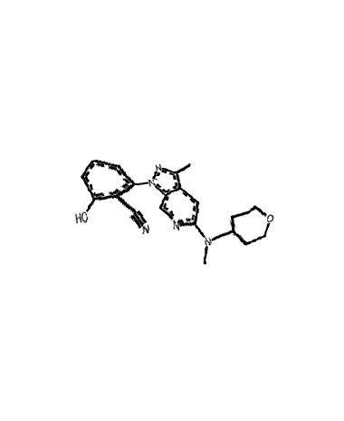 Cc1nn(-c2cccc(O)c2C#N)c2cnc(N(C)C3CCOCC3)cc12